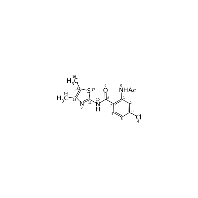 CC(=O)Nc1cc(Cl)ccc1C(=O)Nc1nc(C)c(C)s1